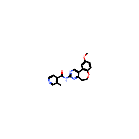 COc1ccc2c(c1)-c1cnc(NC(=O)c3ccncc3C)nc1CCO2